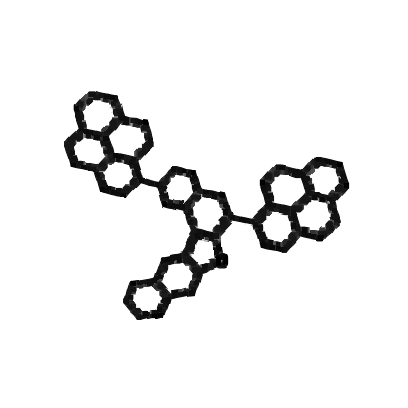 c1ccc2cc3c(cc2c1)oc1c(-c2ccc4ccc5cccc6ccc2c4c56)cc2ccc(-c4ccc5ccc6cccc7ccc4c5c67)cc2c13